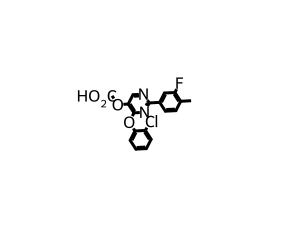 Cc1ccc(-c2ncc(OC(=O)O)c(Oc3ccccc3Cl)n2)cc1F